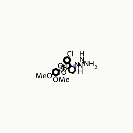 COc1ccc(S(=O)(=O)n2c3c(c4cc(Cl)ccc42)/C(=N/NC(=N)N)CCC3)cc1OC